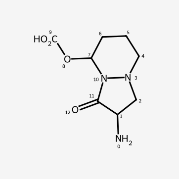 NC1CN2CCCC(OC(=O)O)N2C1=O